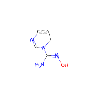 NC(=NO)N1C=NC=CC1